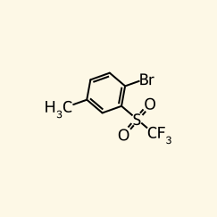 Cc1ccc(Br)c(S(=O)(=O)C(F)(F)F)c1